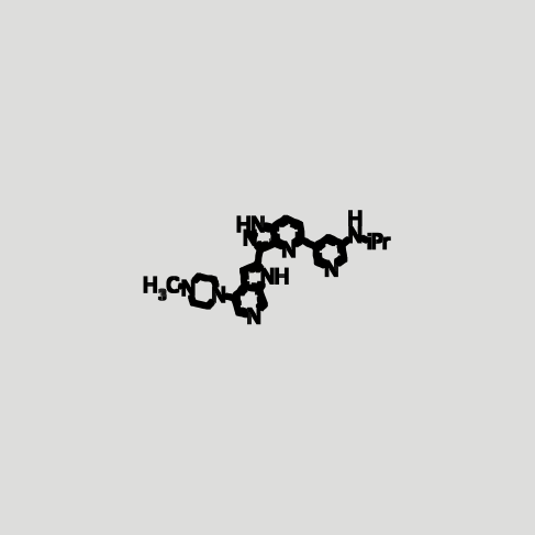 CC(C)Nc1cncc(-c2ccc3[nH]nc(-c4cc5c(N6CCN(C)CC6)cncc5[nH]4)c3n2)c1